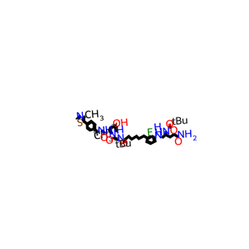 Cc1ncsc1-c1ccc([C@H](C)NC(=O)[C@@H]2C[C@@H](O)CN2C(=O)[C@@H](NC(=O)CCCCCc2cccc(NCC(CCC(N)=O)NC(=O)OC(C)(C)C)c2F)C(C)(C)C)cc1